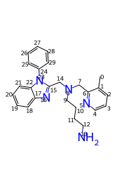 Cc1cccnc1CN(CCCCN)Cc1nc2ccccc2n1-c1ccccc1